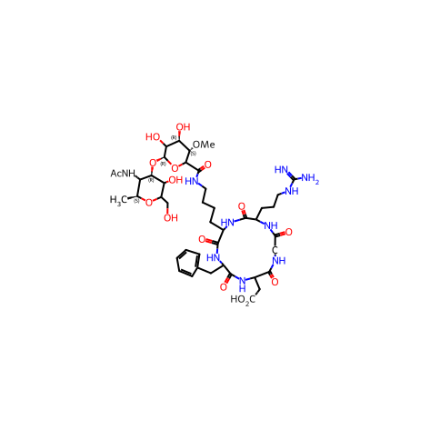 CO[C@@H]1C(C(=O)NCCCCC2NC(=O)C(CCCNC(=N)N)NC(=O)CNC(=O)C(CC(=O)O)NC(=O)C(Cc3ccccc3)NC2=O)O[C@@H](O[C@H]2C(O)C(CO)O[C@@H](C)C2NC(C)=O)C(O)[C@H]1O